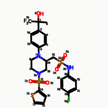 CC(O)(c1ccc(N2CCN(S(=O)(=O)c3cccs3)C[C@@H]2CS(=O)(=O)Nc2ccc(F)cc2)cc1)C(F)(F)F